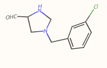 O=CC1CN(Cc2cccc(Cl)c2)CN1